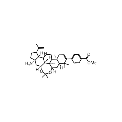 C=C(C)[C@@H]1CC[C@]2(N)C[C@@H]3OC(C)(C)O[C@H]4C[C@H]5C(C)(C)C(c6ccc(C(=O)OC)cc6)=CC[C@]5(C)[C@H]5CC[C@H]([C@@H]12)[C@]3(C)[C@]45C